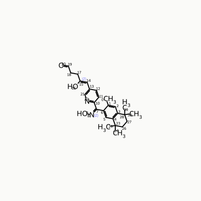 Cc1cc2c(cc1/C(=N/O)c1ccc(/C=C(\O)CCC=O)cn1)C(C)(C)CCC2(C)C